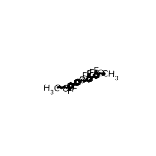 CCCCOc1ccc(C2=CCC(OCc3ccc(-c4ccc(OCC)c(F)c4F)c(F)c3F)CC2)c(F)c1F